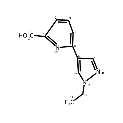 O=C(O)c1cccc(-c2cnn(CC(F)(F)F)c2)n1